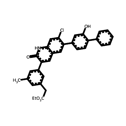 CCOC(=O)Cc1cc(C)cc(-c2cc3cc(-c4ccc(-c5ccccc5)c(O)c4)c(Cl)cc3[nH]c2=O)c1